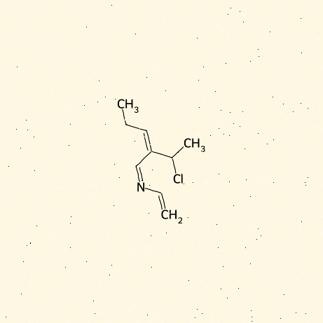 C=C/N=C\C(=C/CC)C(C)Cl